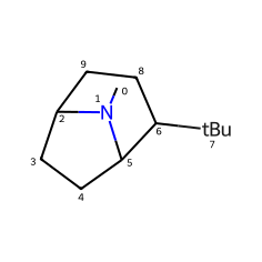 CN1C2CCC1C(C(C)(C)C)CC2